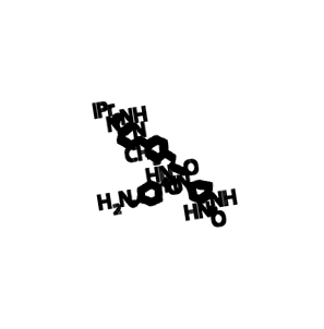 Cc1cc2nc(C(C)C)[nH]c2nc1-c1ccc(C[C@H](NC(=O)[C@H]2CC[C@H](CN)CC2)C(=O)Nc2ccc3[nH]c(=O)[nH]c3c2)cc1